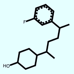 CC(CCC(C)C1CCC(O)CC1)c1cccc(F)c1